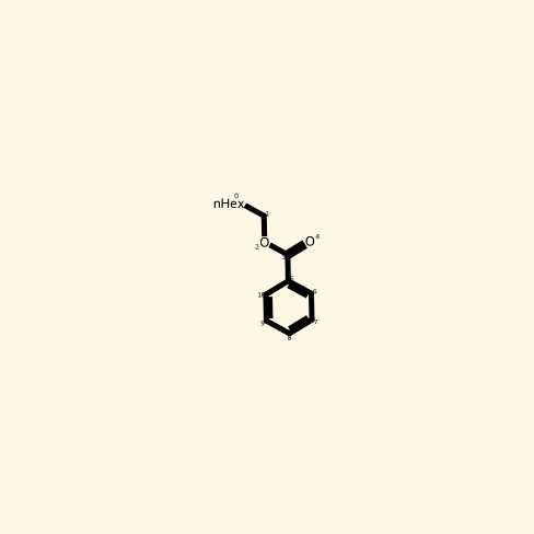 CCCCCCCOC(=O)c1cc[c]cc1